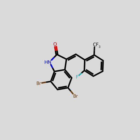 O=C1Nc2c(Br)cc(Br)cc2C1=Cc1c(F)cccc1C(F)(F)F